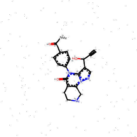 C#CC(O)c1cnn2c3c(c(=O)n(-c4ccc(C(=O)NC)cc4)c12)CCNC3